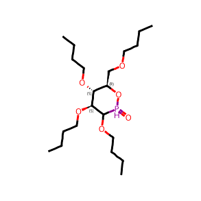 CCCCOC[C@H]1O[PH](=O)C(OCCCC)[C@@H](OCCCC)[C@@H]1OCCCC